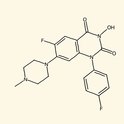 CN1CCN(c2cc3c(cc2F)c(=O)n(O)c(=O)n3-c2ccc(F)cc2)CC1